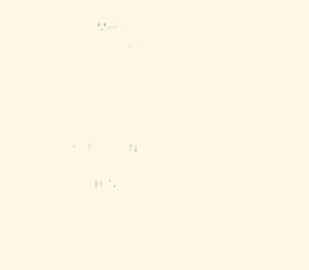 COOCc1ccc2c(C3CCCCC3)c(-c3ccc(C)cc3N)n(CC=O)c2c1